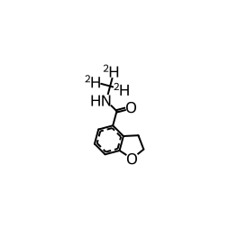 [2H]C([2H])([2H])NC(=O)c1cccc2c1CCO2